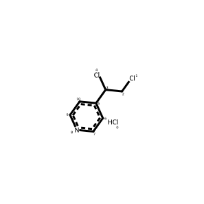 Cl.ClCC(Cl)c1ccncc1